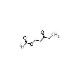 [2H]C(=O)OCCC(=O)CC